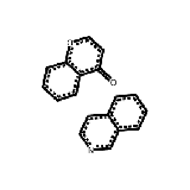 O=c1ccoc2ccccc12.c1ccc2cnccc2c1